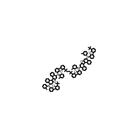 Cc1cccc(N(c2cc3oc4cc(N(c5cccc(C)c5)c5cccc6c5oc5c(C(C)(C)CCC(C)(C)c7cccc8c7oc7c(N(c9ccccc9C)c9cc%10oc%11cc(N(c%12ccccc%12C)c%12cccc%13c%12oc%12c(C(C)(C)C)cccc%12%13)c%12ccccc%12c%11c%10c%10ccccc9%10)cccc78)cccc56)c5ccccc5c4c3c3ccccc23)c2cccc3c2oc2c(C(C)(C)C)cccc23)c1